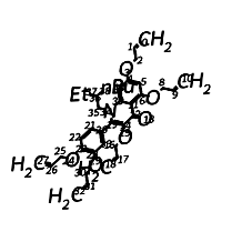 C=CCOc1cc(OCC=C)c2c(=O)c(OCC=C)c(-c3ccc(OCC=C)c(OCC=C)c3)n(CC(CC)CCCC)c2c1